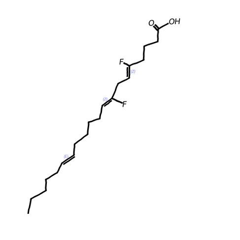 CCCCC/C=C/CCCC/C=C(\F)C/C=C(\F)CCCC(=O)O